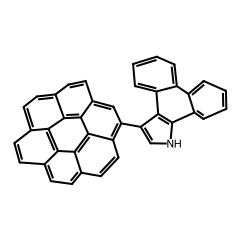 c1ccc2c(c1)c1ccccc1c1c(-c3cc4ccc5ccc6ccc7ccc8ccc3c3c8c7c6c5c43)c[nH]c21